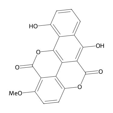 COc1ccc2oc(=O)c3c(O)c4cccc(O)c4c4oc(=O)c1c2c34